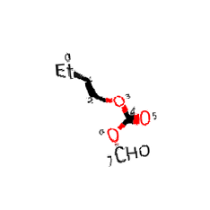 CCC=COC(=O)OC=O